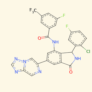 O=C(Nc1cc(-c2cn3ncnc3cn2)cc2c1C(c1cc(F)ccc1Cl)NC2=O)c1cc(F)cc(C(F)(F)F)c1